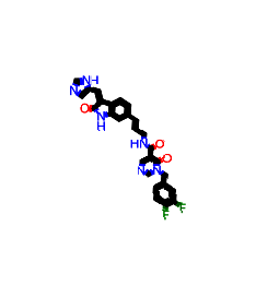 O=C1Nc2cc(C=CCNC(=O)c3cncn(Cc4ccc(F)c(F)c4)c3=O)ccc2C1=Cc1cnc[nH]1